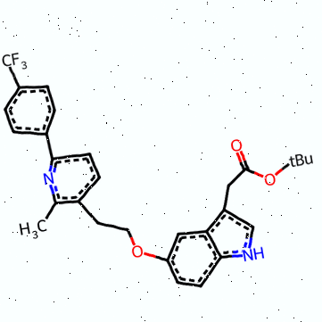 Cc1nc(-c2ccc(C(F)(F)F)cc2)ccc1CCOc1ccc2[nH]cc(CC(=O)OC(C)(C)C)c2c1